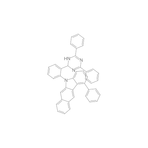 c1ccc(C2=NC(c3ccccc3-n3c4cc5ccccc5cc4c4c(-c5ccccc5)cccc43)NC(c3ccccc3)=N2)cc1